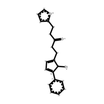 CCC1C(CCC(=O)CCc2ccco2)=CC=C1c1ccccc1